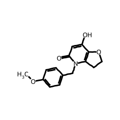 COc1ccc(Cn2c3c(c(O)cc2=O)OCC3)cc1